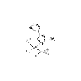 C[C@H](C1CC1)N(c1nc(N)nc(-c2cccnc2)n1)[C@H](C)C1CC1